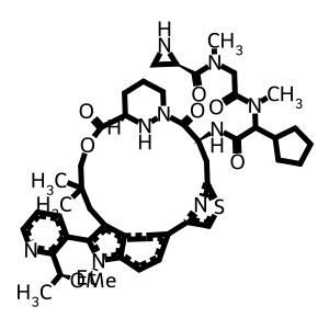 CCn1c(-c2cccnc2[C@H](C)OC)c2c3cc(ccc31)-c1csc(n1)C[C@H](NC(=O)C(C1CCCC1)N(C)C(=O)CN(C)C(=O)[C@H]1CN1)C(=O)N1CCC[C@H](N1)C(=O)OCC(C)(C)C2